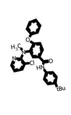 CN(c1cc(C(=O)Nc2ccc(C(C)(C)C)cc2)ccc1Oc1ccccc1)c1ncccc1Cl